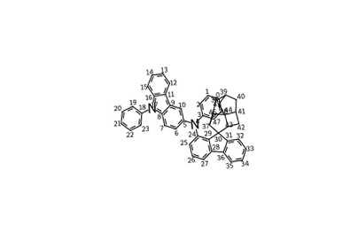 c1ccc(N(c2ccc3c(c2)c2ccccc2n3-c2ccccc2)c2cccc3c2C2(c4ccccc4-3)C3CC4CC5CC2C5(C4)C3)cc1